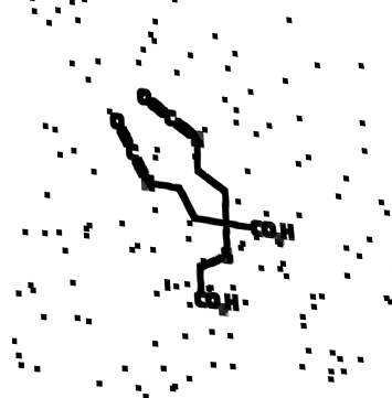 O=C=NCCC(CCN=C=O)(SCC(=O)O)C(=O)O